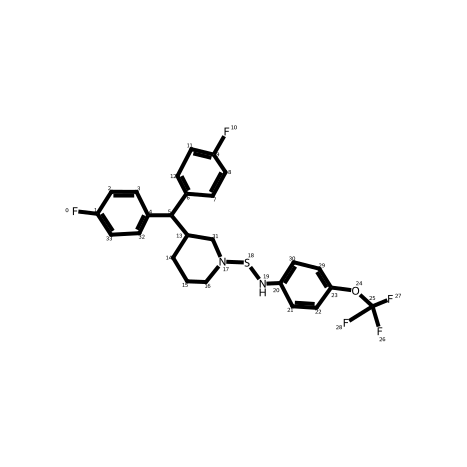 Fc1ccc(C(c2ccc(F)cc2)C2CCCN(SNc3ccc(OC(F)(F)F)cc3)C2)cc1